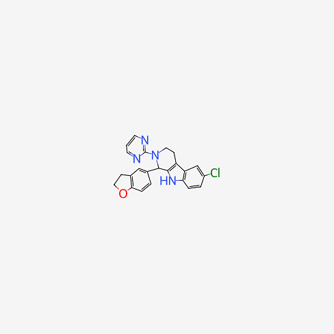 Clc1ccc2[nH]c3c(c2c1)CCN(c1ncccn1)C3c1ccc2c(c1)CCO2